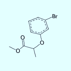 COC(=O)C(C)Oc1cccc(Br)c1